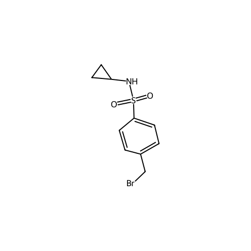 O=S(=O)(NC1CC1)c1ccc(CBr)cc1